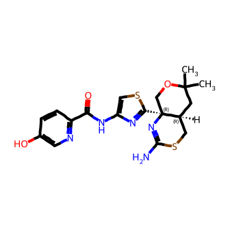 CC1(C)C[C@H]2CSC(N)=N[C@@]2(c2nc(NC(=O)c3ccc(O)cn3)cs2)CO1